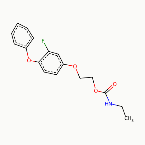 CCNC(=O)OCCOc1ccc(Oc2ccccc2)c(F)c1